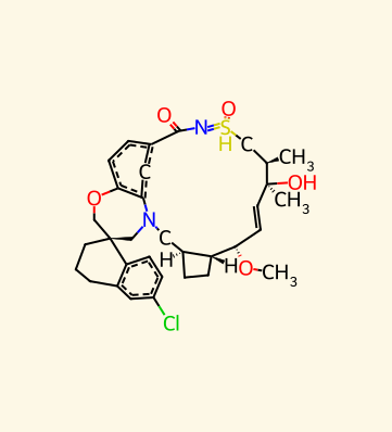 CO[C@H]1/C=C/[C@](C)(O)[C@H](C)C/[SH](=O)=N\C(=O)c2ccc3c(c2)N(C[C@@H]2CC[C@H]21)C[C@@]1(CCCc2cc(Cl)ccc21)CO3